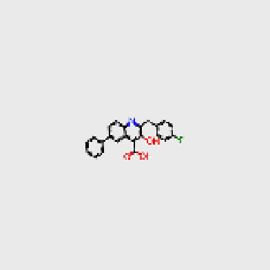 O=C(O)c1c(O)c(Cc2ccc(F)cc2)nc2ccc(-c3ccccc3)cc12